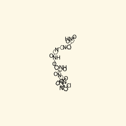 CNC(=O)C1(Oc2ccccc2-c2nc3cccc(Cl)c3s2)CCN(C(=O)[C@H]2CC(=O)Nc3cc(OCCNC(=O)C4CCN(CC5CCN(c6cccc(C7CCC(=O)NC7=O)c6)CC5)CC4)ccc32)CC1